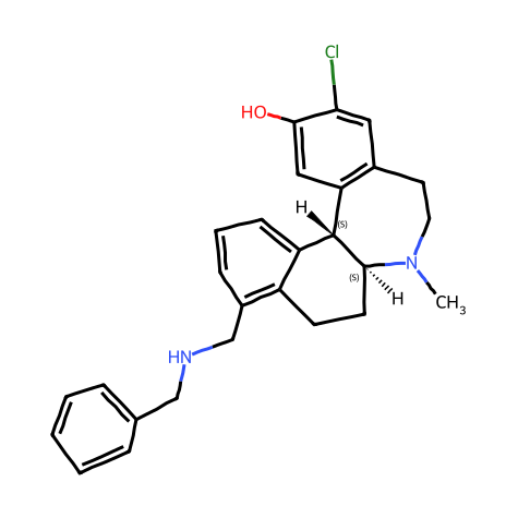 CN1CCc2cc(Cl)c(O)cc2[C@H]2c3cccc(CNCc4ccccc4)c3CC[C@@H]21